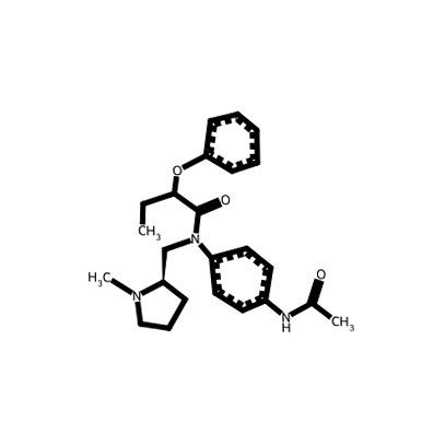 CCC(Oc1ccccc1)C(=O)N(C[C@H]1CCCN1C)c1ccc(NC(C)=O)cc1